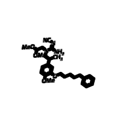 COc1ccc(C(C)CN(CC(OC)OC)/C(N)=N\C#N)cc1OCCCCCc1ccccc1